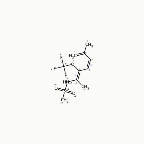 C=C(C)/C=C\C(OC(F)(F)F)=C(/C)NS(C)(=O)=O